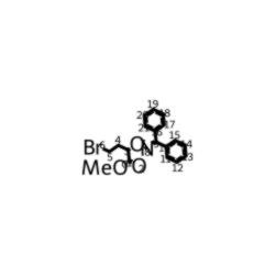 COC(=O)C(CCBr)ON=C(c1ccccc1)c1ccccc1